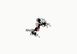 COC[C@H](c1cnn2cc([C@H](COC(C)(C)C(C)(F)F)NC(=O)c3nonc3C)nc2c1)N1C[C@@H](C(F)(F)F)NC1=O